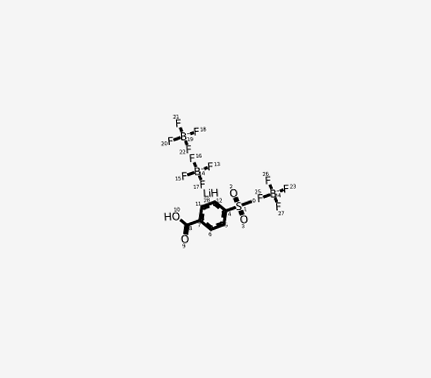 CS(=O)(=O)c1ccc(C(=O)O)cc1.F[B-](F)(F)F.F[B-](F)(F)F.F[B-](F)(F)F.[LiH]